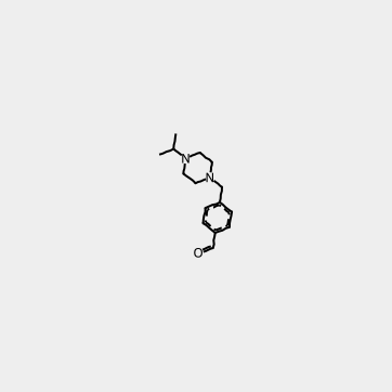 CC(C)N1CCN(Cc2ccc(C=O)cc2)CC1